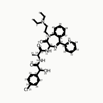 CCN(CC)CCN1C(=O)C(NC(=O)[C@H](C)NC(=O)C(O)c2ccc(Cl)cc2)N=C(c2ccccn2)c2ccccc21